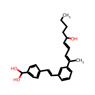 CCCCC(O)C=CC=C(C)c1cccc(C=Cc2ccc(C(O)O)cc2)c1